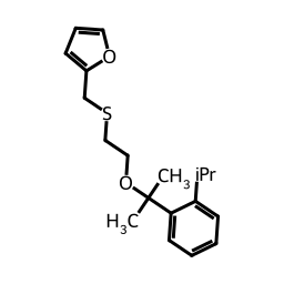 CC(C)c1ccccc1C(C)(C)OCCSCc1ccco1